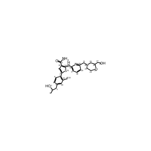 CC(O)Cc1ccc(-c2cc(C(N)=O)c(Nc3cccc(CN4CCOC(CO)C4)n3)s2)c(F)c1